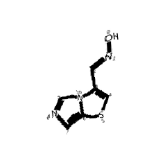 ON=Cc1csc2cncn12